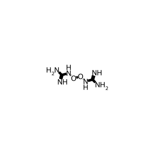 N=C(N)NOONC(=N)N